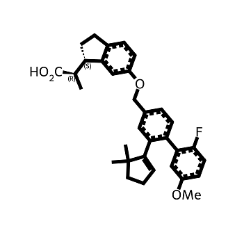 COc1ccc(F)c(-c2ccc(COc3ccc4c(c3)[C@H]([C@@H](C)C(=O)O)CC4)cc2C2=CCCC2(C)C)c1